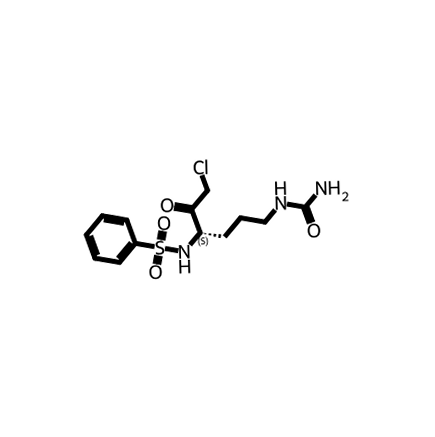 NC(=O)NCCC[C@H](NS(=O)(=O)c1ccccc1)C(=O)CCl